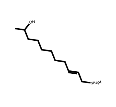 CCCCCCCCC=CCCCCCCC(C)O